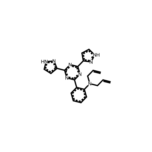 C=CCN(CC=C)c1ccccc1-c1nc(-c2cc[nH]n2)nc(-c2cc[nH]n2)n1